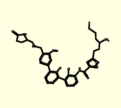 COc1nc(-c2ccnc(-c3cccc(NC(=O)c4cc(CCN(C)CCCF)n[nH]4)c3Cl)c2Cl)ccc1CNCC1CCC(=O)N1